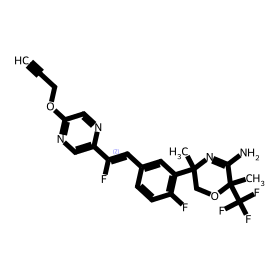 C#CCOc1cnc(/C(F)=C/c2ccc(F)c(C3(C)COC(C)(C(F)(F)F)C(N)=N3)c2)cn1